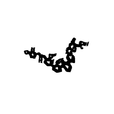 COc1nc(-c2cccc(-c3cccc(-c4ccn5c(=O)c(CN(C)C[C@@H](C)O)cnc5c4)c3Cl)c2Cl)ccc1CNC[C@H]1CCC(=O)N1